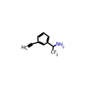 C#Cc1cccc(C(N)C(F)(F)F)c1